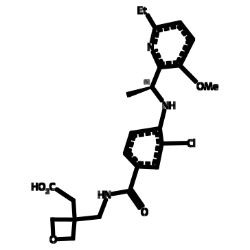 CCc1ccc(OC)c([C@H](C)Nc2ccc(C(=O)NCC3(CC(=O)O)COC3)cc2Cl)n1